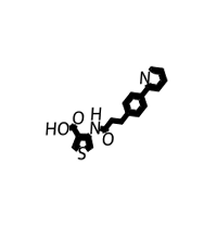 O=C(CCc1ccc(-c2ccccn2)cc1)Nc1cscc1C(=O)O